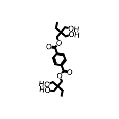 CCC(CO)(CO)COC(=O)c1ccc(C(=O)OCC(CC)(CO)CO)cc1